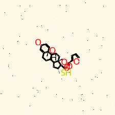 C[C@@H]1CC2C3CCC4=CC(=O)C=C[C@]4(C)[C@@]34O[C@H]4C[C@]2(C)[C@@]1(OC(=O)c1ccco1)C(=O)S